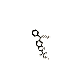 NS(=O)(=O)c1nc2cc(C(C(=O)O)c3ccccc3)ccc2s1